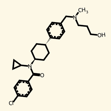 CN(CCCO)Cc1ccc([C@H]2CC[C@H](N(C(=O)c3ccc(Cl)cc3)C3CC3)CC2)cc1